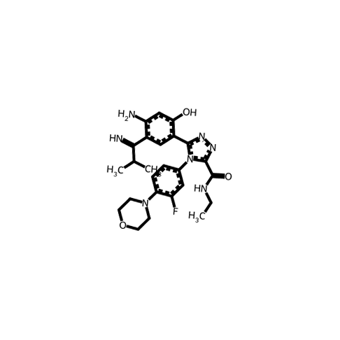 CCNC(=O)c1nnc(-c2cc(C(=N)C(C)C)c(N)cc2O)n1-c1ccc(N2CCOCC2)c(F)c1